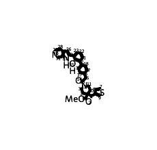 COC(=O)C1(Cc2ccsc2)CCN(C(=O)Cc2ccc(-c3cccc(-c4cc5ccncc5[nH]4)c3O)cc2)CC1